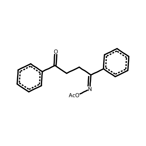 CC(=O)ON=C(CCC(=O)c1ccccc1)c1ccccc1